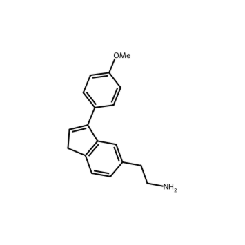 COc1ccc(C2=CCc3ccc(CCN)cc32)cc1